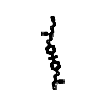 C#CCOC[C@@H](O)COc1ccc(C(C)(C)c2ccc(OC[C@H](O)CCl)cc2)cc1